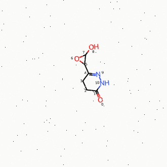 O=C1CCC(C2OC2O)=NN1